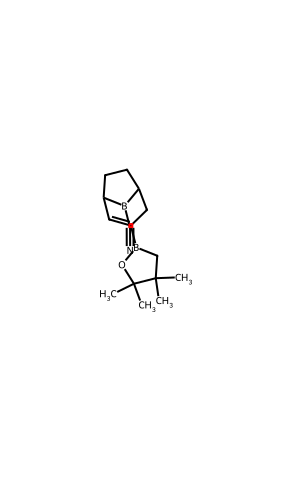 CC1(C)CB(C2=CC3CCC(C2)B3C#N)OC1(C)C